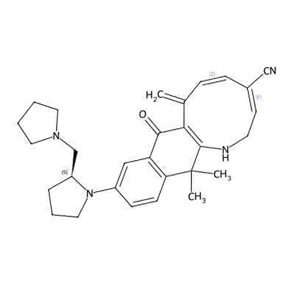 C=C1/C=C\C(C#N)=C/CNC2=C1C(=O)c1cc(N3CCC[C@H]3CN3CCCC3)ccc1C2(C)C